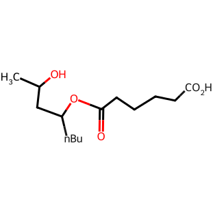 CCCCC(CC(C)O)OC(=O)CCCCC(=O)O